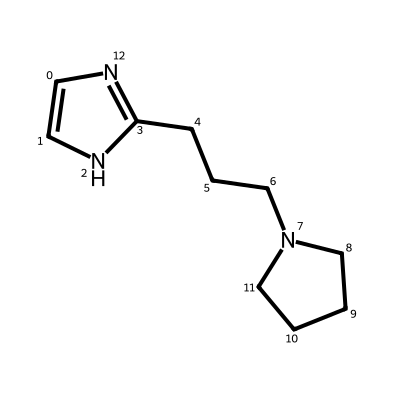 c1c[nH]c(CCCN2CCCC2)n1